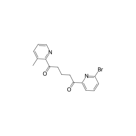 Cc1cccnc1C(=O)CCCC(=O)c1cccc(Br)n1